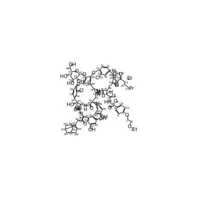 CCOCCOc1ccc(S(=O)(=O)NC(=O)C[C@@H]2CC(=O)[C@H](NC(=O)[C@H](CC)CC(C)C)[C@H](O)c3ccc(c(Cl)c3)Oc3cc4cc(c3O[C@@H]3O[C@H](CO)[C@@H](O)[C@H](O)[C@H]3O)Oc3ccc(cc3Cl)[C@@H](O)[C@@H]3NC(=O)[C@H](CC(=O)[C@@H]4NC2=O)c2ccc(O)c(c2)-c2c(O)cc(O)cc2[C@@H](C(=O)CC2C4CC5CC(C4)CC2C5)NC3=O)cc1